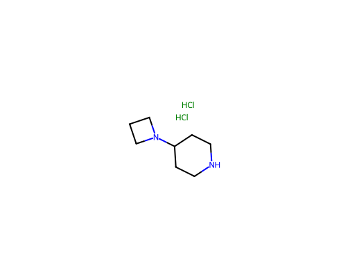 C1CN(C2CCNCC2)C1.Cl.Cl